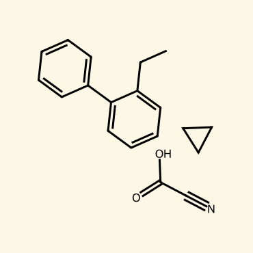 C1CC1.CCc1ccccc1-c1ccccc1.N#CC(=O)O